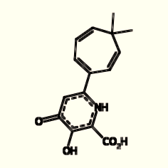 CC1(C)C=CC=C(c2cc(=O)c(O)c(C(=O)O)[nH]2)C=C1